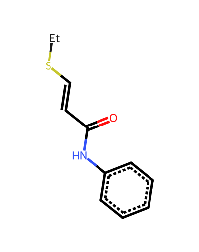 CCSC=CC(=O)Nc1ccccc1